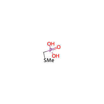 CSCP(=O)(O)O